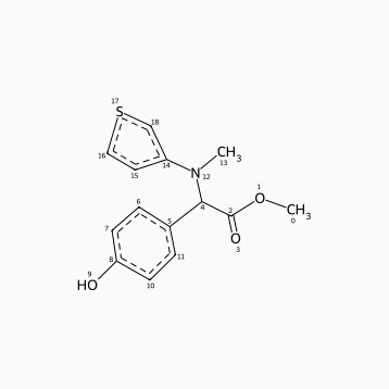 COC(=O)C(c1ccc(O)cc1)N(C)c1ccsc1